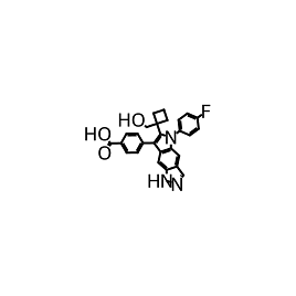 O=C(O)c1ccc(-c2c(C3(CO)CCC3)n(-c3ccc(F)cc3)c3cc4cn[nH]c4cc23)cc1